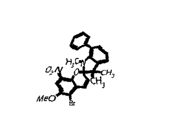 COc1cc([N+](=O)[O-])c2c(c1Br)C=CC1(O2)N(C)c2c(-c3ccccc3)cccc2C1(C)C